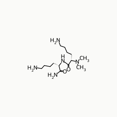 CN(C)[C@@H](CCCCN)C(=O)N[C@@H](CCCCN)C(N)=O